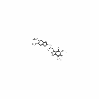 COc1cc2nc(NC(=O)Cc3n[nH]c4c3c(=O)n(C)c(=O)n4C)oc2cc1C